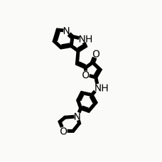 O=C1C=C(Nc2ccc(N3CCOCC3)cc2)O/C1=C/c1c[nH]c2ncccc12